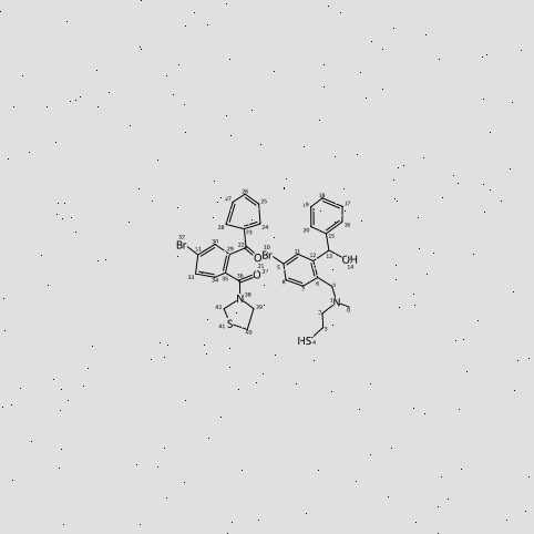 CN(CCS)Cc1ccc(Br)cc1C(O)c1ccccc1.O=C(c1ccccc1)c1cc(Br)ccc1C(=O)N1CCSC1